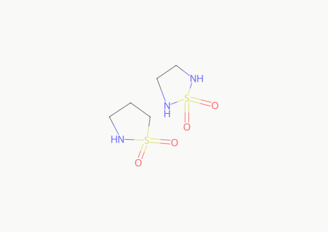 O=S1(=O)CCCN1.O=S1(=O)NCCN1